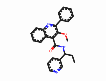 CCC(NC(=O)c1c(OC)c(-c2ccccc2)nc2ccccc12)c1cccnc1